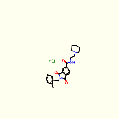 Cc1ccccc1CN1C(=O)c2ccc(C(=O)NCCN3CCCCC3)cc2C1=O.Cl